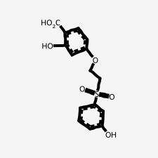 O=C(O)c1ccc(OCCS(=O)(=O)c2cccc(O)c2)cc1O